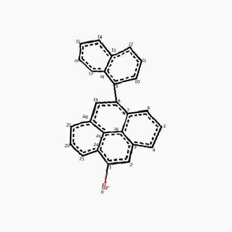 Brc1cc2cccc3c(-c4cccc5ccccc45)cc4cccc1c4c23